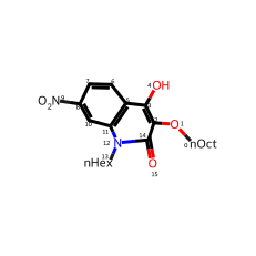 CCCCCCCCOc1c(O)c2ccc([N+](=O)[O-])cc2n(CCCCCC)c1=O